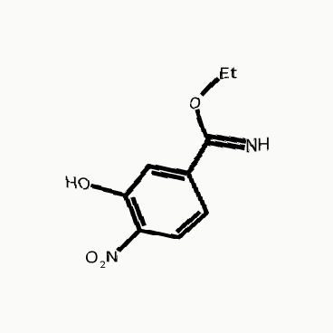 CCOC(=N)c1ccc([N+](=O)[O-])c(O)c1